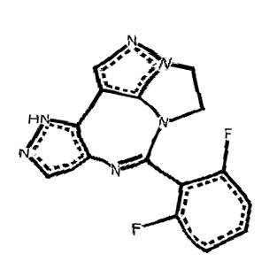 Fc1cccc(F)c1C1=Nc2cn[nH]c2-c2cnn3c2N1CC3